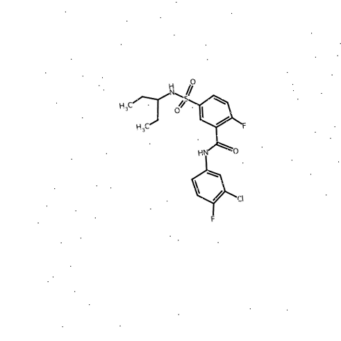 CCC(CC)NS(=O)(=O)c1ccc(F)c(C(=O)Nc2ccc(F)c(Cl)c2)c1